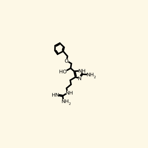 N=C(N)NCCCc1nc(N)[nH]c1C(O)COCc1ccccc1